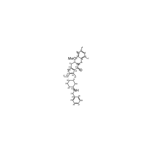 COc1nc(C)cc(C)c1CN1CCc2sc(C(C)[C@H]3CC[C@H](NCc4ccccc4)CC3)c(C)c2C1=O